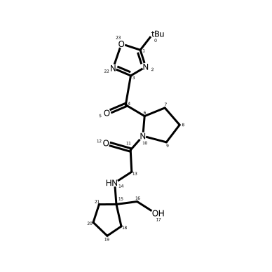 CC(C)(C)c1nc(C(=O)C2CCCN2C(=O)CNC2(CO)CCCC2)no1